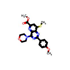 COC(=O)c1cc(SC)c2nc(-c3ccc(OC)cc3)nc(N3CCOCC3)c2n1